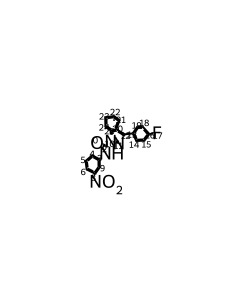 O=C(Nc1cccc([N+](=O)[O-])c1)n1nc(-c2ccc(F)cc2)c2c[c]ccc21